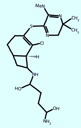 CNC1=NC(C)(C)CN=C1SC1=C(Cl)[C@@H]2C(CC1)CC2NC(O)CCC(N)O